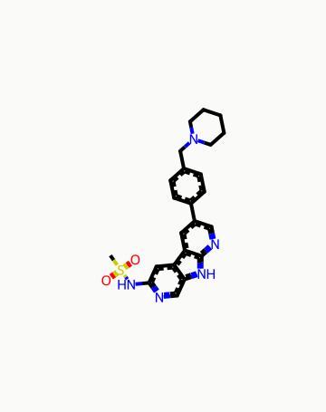 CS(=O)(=O)Nc1cc2c(cn1)[nH]c1ncc(-c3ccc(CN4CCCCC4)cc3)cc12